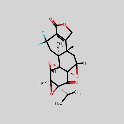 CC(C)[C@]12O[C@H]1[C@@H]1O[C@@]13[C@@]1(C)CC(F)(F)C4=C(COC4=O)[C@@H]1C[C@@H]1O[C@@]13C2=O